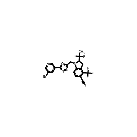 CC(F)(F)C1Cc2c(ccc(C#N)c2C(F)(F)F)N1Cc1nnc(-c2cncc(Br)c2)o1